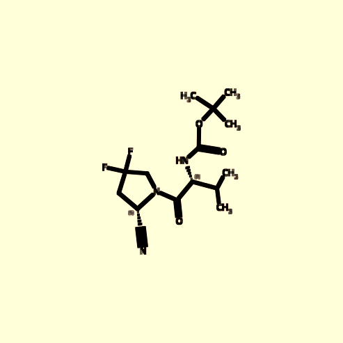 CC(C)[C@@H](NC(=O)OC(C)(C)C)C(=O)N1CC(F)(F)C[C@H]1C#N